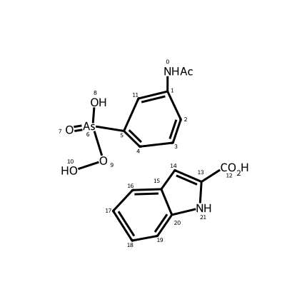 CC(=O)Nc1cccc([As](=O)(O)OO)c1.O=C(O)c1cc2ccccc2[nH]1